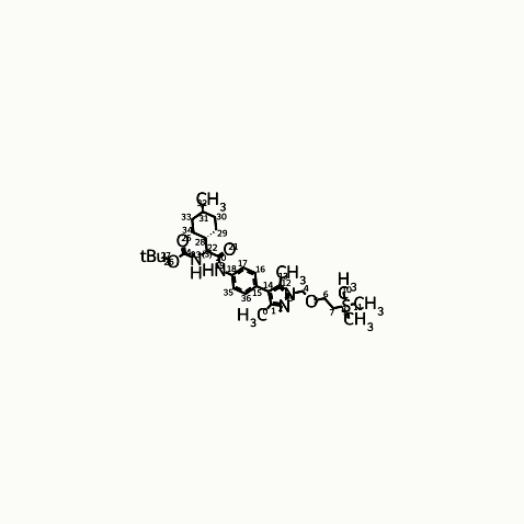 Cc1nn(COCCS(C)(C)C)c(C)c1-c1ccc(NC(=O)[C@@H](NC(=O)OC(C)(C)C)[C@H]2CC[C@H](C)CC2)cc1